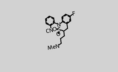 CNCCCC1Cc2cc(F)ccc2N(c2ccccc2C#N)S1(=O)=O